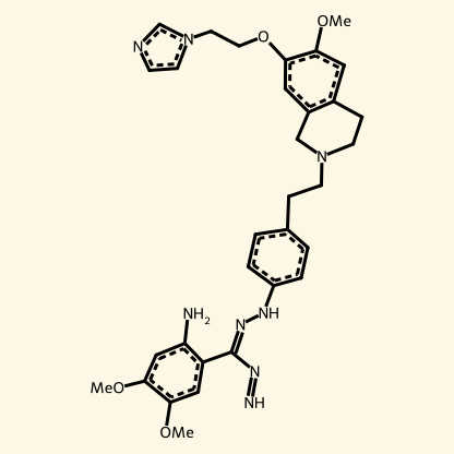 COc1cc(N)c(/C(N=N)=N/Nc2ccc(CCN3CCc4cc(OC)c(OCCn5ccnc5)cc4C3)cc2)cc1OC